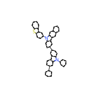 c1ccc(-c2ccc3c4cc(-c5ccc6c(c5)c5cc7ccccc7cc5n6-c5ccc6sc7ccccc7c6c5)ccc4n(-c4ccccc4)c3c2)cc1